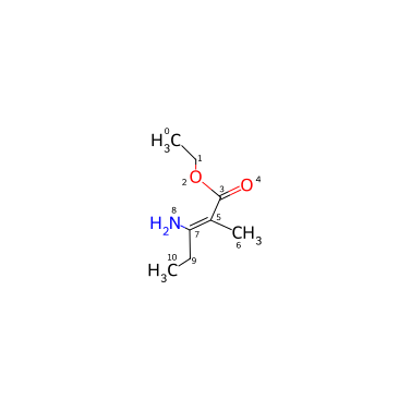 CCOC(=O)C(C)=C(N)CC